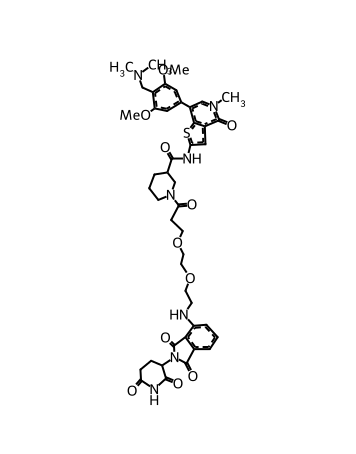 COc1cc(-c2cn(C)c(=O)c3cc(NC(=O)C4CCCN(C(=O)CCOCCOCCNc5cccc6c5C(=O)N(C5CCC(=O)NC5=O)C6=O)C4)sc23)cc(OC)c1CN(C)C